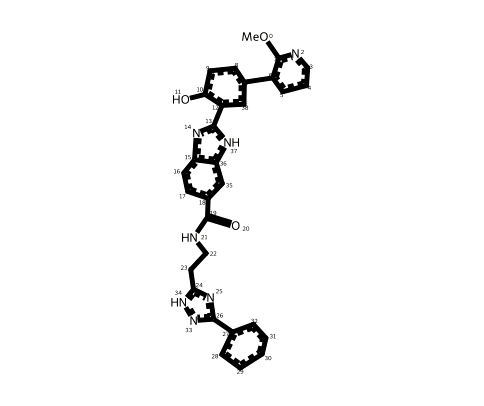 COc1ncccc1-c1ccc(O)c(-c2nc3ccc(C(=O)NCCc4nc(-c5ccccc5)n[nH]4)cc3[nH]2)c1